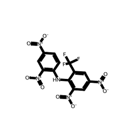 O=[N+]([O-])c1ccc(Nc2c([N+](=O)[O-])cc([N+](=O)[O-])cc2C(F)(F)F)c([N+](=O)[O-])c1